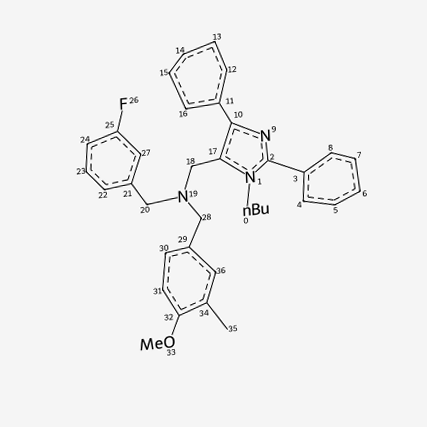 CCCCn1c(-c2ccccc2)nc(-c2ccccc2)c1CN(Cc1cccc(F)c1)Cc1ccc(OC)c(C)c1